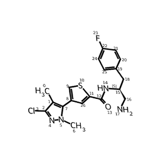 Cc1c(Cl)nn(C)c1-c1csc(C(=O)N[C@H](CN)Cc2ccc(F)cc2)c1